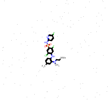 CNCCN(C)c1cc(C(F)(F)F)ccc1Nc1cc(F)c(S(=O)(=O)Nc2ccc(F)cn2)cc1Cl